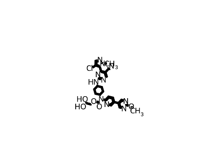 COc1ncc(-c2ccc(N(C(=O)OCC(O)O)[C@H]3CC[C@H](Nc4ncc(C#N)c(-c5c(Cl)cnn5C)n4)CC3)nc2)cn1